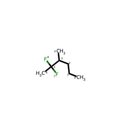 CCCC(C)C(C)(F)F